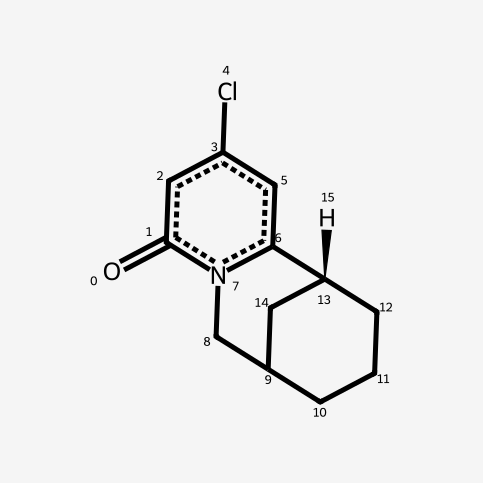 O=c1cc(Cl)cc2n1CC1CCC[C@@H]2C1